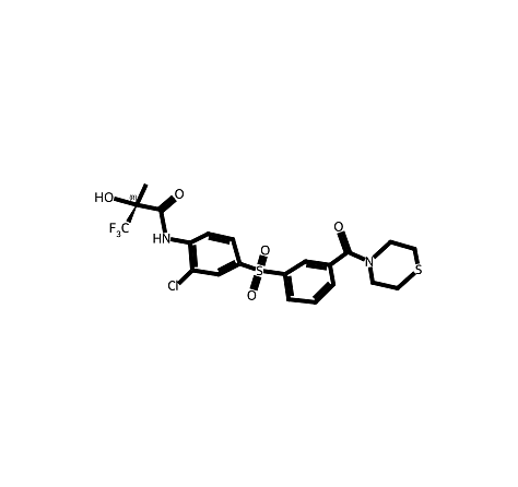 C[C@@](O)(C(=O)Nc1ccc(S(=O)(=O)c2cccc(C(=O)N3CCSCC3)c2)cc1Cl)C(F)(F)F